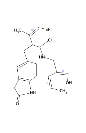 C/C=C\C(=C/O)CNC(C)C(Cc1ccc2c(c1)CC(=O)N2)/C(C)=C\CCC